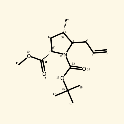 C=CCC1[C@@H](C)C[C@@H](C(=O)OC)N1C(=O)OC(C)(C)C